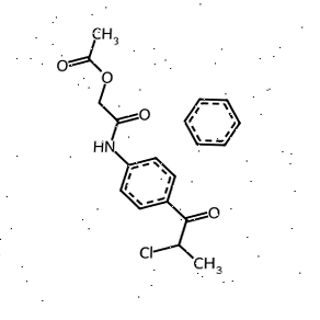 CC(=O)OCC(=O)Nc1ccc(C(=O)C(C)Cl)cc1.c1ccccc1